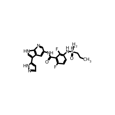 CCC[SH](=O)(P)Nc1ccc(F)c(C(=O)Nc2cnc3[nH]cc(-c4ccn[nH]4)c3c2)c1F